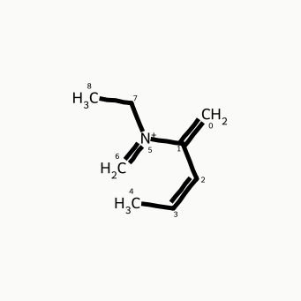 C=C(/C=C\C)[N+](=C)CC